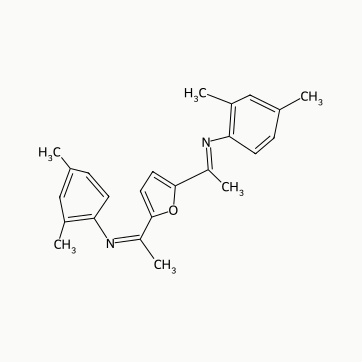 CC(=Nc1ccc(C)cc1C)c1ccc(C(C)=Nc2ccc(C)cc2C)o1